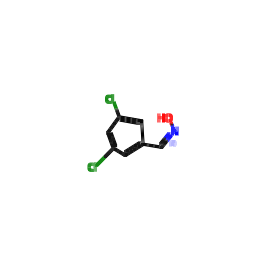 O/N=C\c1cc(Cl)cc(Cl)c1